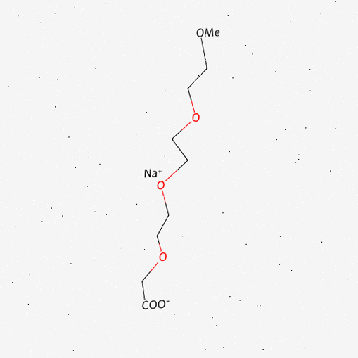 COCCOCCOCCOCC(=O)[O-].[Na+]